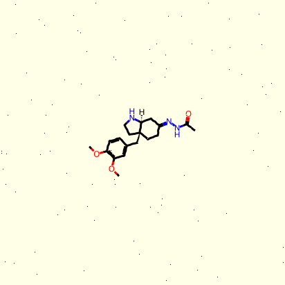 COc1ccc(C[C@@]23CCN[C@H]2CC(=NNC(C)=O)CC3)cc1OC